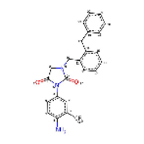 Nc1ccc(N2C(=O)CN(Cc3ccccc3Cc3ccccc3)C2=O)cc1C(F)(F)F